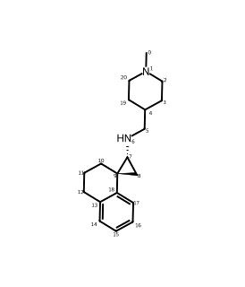 CN1CCC(CN[C@@H]2C[C@@]23CCCc2ccccc23)CC1